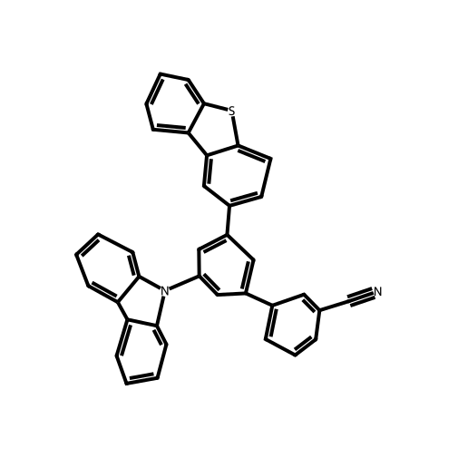 N#Cc1cccc(-c2cc(-c3ccc4sc5ccccc5c4c3)cc(-n3c4ccccc4c4ccccc43)c2)c1